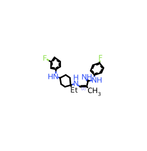 CCC1(N/C=C(/C)C(=N)Nc2ccc(F)cc2)CCC(Nc2cccc(F)c2)CC1